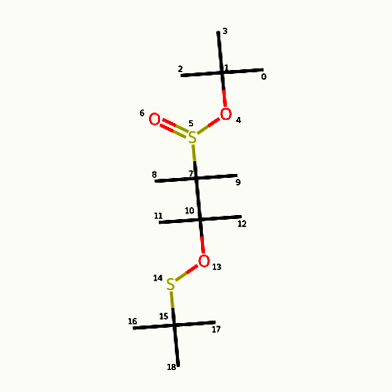 CC(C)(C)OS(=O)C(C)(C)C(C)(C)OSC(C)(C)C